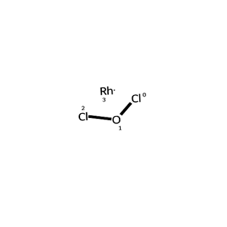 ClOCl.[Rh]